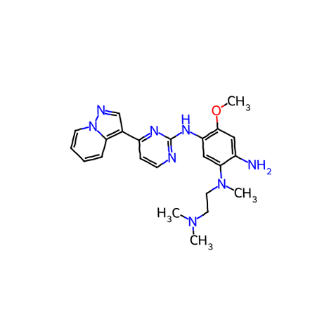 COc1cc(N)c(N(C)CCN(C)C)cc1Nc1nccc(-c2cnn3ccccc23)n1